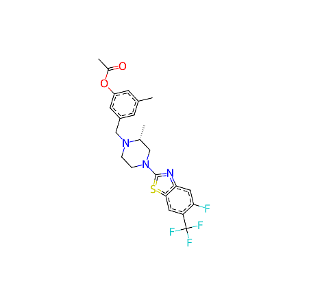 CC(=O)Oc1cc(C)cc(CN2CCN(c3nc4cc(F)c(C(F)(F)F)cc4s3)C[C@H]2C)c1